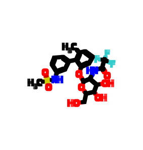 Cc1cccc(OC2OC(CO)C(O)C(O)C2NC(=O)C(F)(F)F)c1-c1cccc(NS(C)(=O)=O)c1